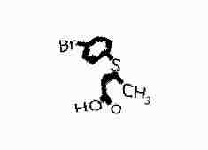 CC(CC(=O)O)Sc1ccc(Br)cc1